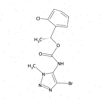 C[C@@H](OC(=O)Nc1c(Br)nnn1C)c1ccccc1Cl